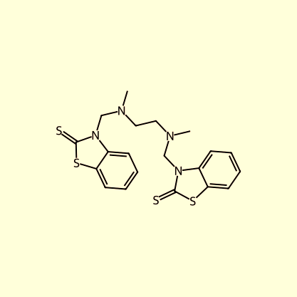 CN(CCN(C)Cn1c(=S)sc2ccccc21)Cn1c(=S)sc2ccccc21